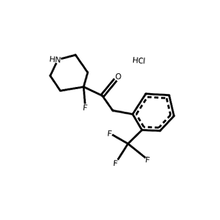 Cl.O=C(Cc1ccccc1C(F)(F)F)C1(F)CCNCC1